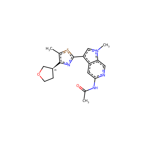 CC(=O)Nc1cc2c(-c3nc([C@H]4CCOC4)c(C)s3)cn(C)c2cn1